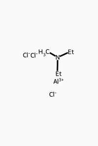 CCN(C)CC.[Al+3].[Cl-].[Cl-].[Cl-]